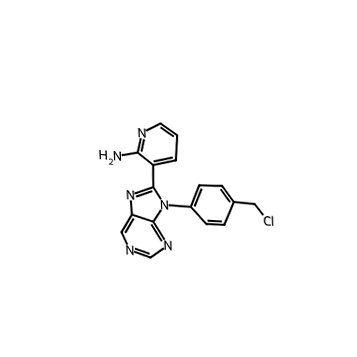 Nc1ncccc1-c1nc2cncnc2n1-c1ccc(CCl)cc1